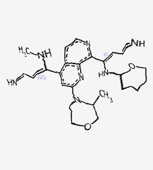 CN/C(=C\C=N)c1cc(N2CCOCC2C)nc2c(/C(=C/C=N)NC3CCCCO3)nccc12